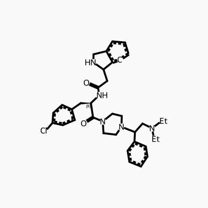 CCN(CC)CC(c1ccccc1)N1CCN(C(=O)[C@@H](Cc2ccc(Cl)cc2)NC(=O)CC2NCc3ccccc32)CC1